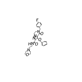 O=C(NCCN1CCOCC1)c1nn2c(c1OCc1ccccc1)C(=O)N(Cc1ccc(F)cc1)CC2